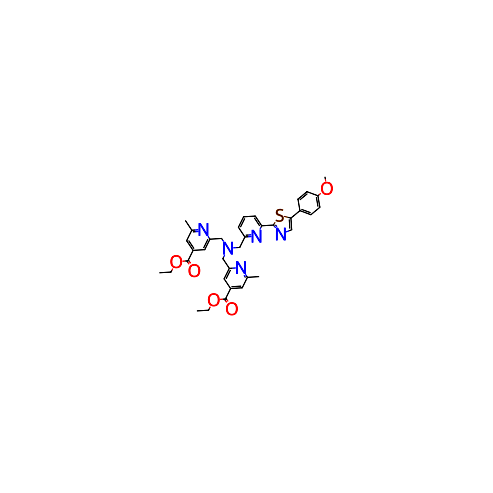 CCOC(=O)c1cc(C)nc(CN(Cc2cc(C(=O)OCC)cc(C)n2)Cc2cccc(-c3ncc(-c4ccc(OC)cc4)s3)n2)c1